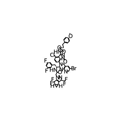 COc1ccc(CCS(=O)(=O)Nc2nn(C)c3c(-n4c([C@H](Cc5cc(F)cc(F)c5)NC(=O)Cn5nc(C(F)F)c6c5C(F)(F)[C@@H]5C[C@H]65)nc5ncc(Br)cc5c4=O)ccc(Cl)c23)cc1